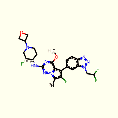 [2H]c1c(F)c(-c2ccc3nnn(CC(F)F)c3c2)c2c(OC)nc(N[C@H]3CCN(C4COC4)C[C@H]3F)nn12